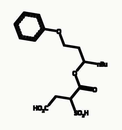 CCCCC(CCOc1ccccc1)OC(=O)C(CC(=O)O)S(=O)(=O)O